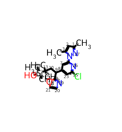 Cc1cc(C)n(-c2cc(C(CC(C)(C)[Si](C)(C)O)c3ncco3)cc(Cl)n2)n1